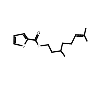 CC(C)=CCCC(C)CCOC(=O)c1cccs1